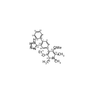 CCOC1=C(c2ccc(-c3ccccc3)c(-c3nnn[nH]3)c2)C(OC)=C(C)N(C)C1C